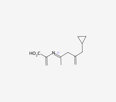 C=C(C/C(C)=N/C(=C)C(=O)O)CC1CC1